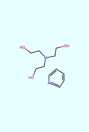 OCCN(CCO)CCO.c1ccncc1